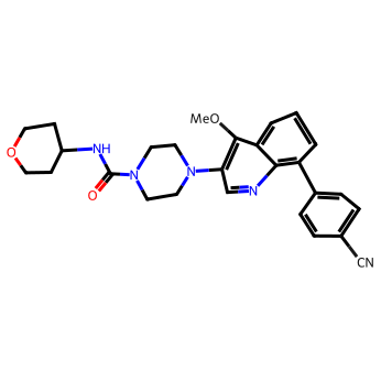 COc1c(N2CCN(C(=O)NC3CCOCC3)CC2)cnc2c(-c3ccc(C#N)cc3)cccc12